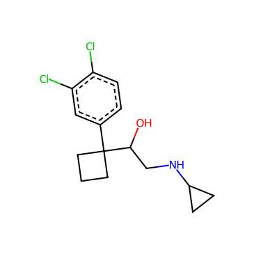 OC(CNC1CC1)C1(c2ccc(Cl)c(Cl)c2)CCC1